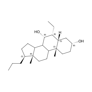 CCC[C@H]1CCC2C3C(CC[C@@]21C)[C@@]1(C)CC[C@@H](O)C[C@H]1[C@@H](CC)[C@H]3O